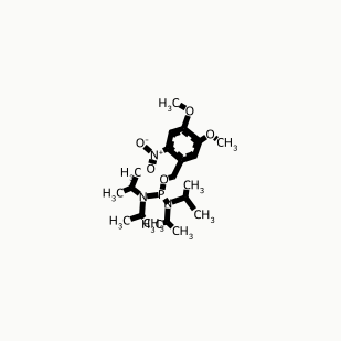 COc1cc(COP(N(C(C)C)C(C)C)N(C(C)C)C(C)C)c([N+](=O)[O-])cc1OC